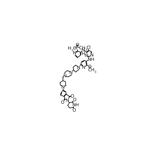 COc1nc(N2CCC(N3CCN(CC4CCN(c5ccc6c(c5)C(=O)N(C5CCC(=O)NC5=O)C6=O)CC4)CC3)CC2)ccc1Nc1ncc(Cl)c(Nc2cccnc2P(C)(C)=O)n1